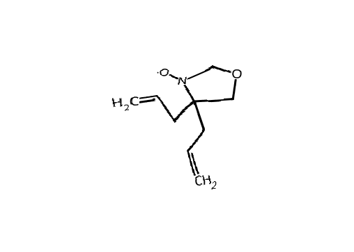 C=CCC1(CC=C)COCN1[O]